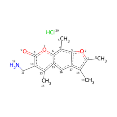 Cc1oc2c(C)c3oc(=O)c(CN)c(C)c3cc2c1C.Cl